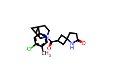 Cc1ccc(C23CCN(C(=O)C4CC5(CCC(=O)N5)C4)CC2C3)cc1Cl